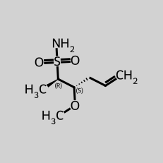 C=CC[C@H](OC)[C@@H](C)S(N)(=O)=O